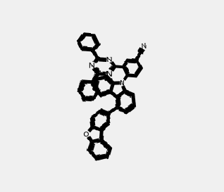 N#Cc1ccc(-n2c3ccccc3c3c(-c4ccc5oc6ccccc6c5c4)cccc32)c(-c2nc(-c3ccccc3)nc(-c3ccccc3)n2)c1